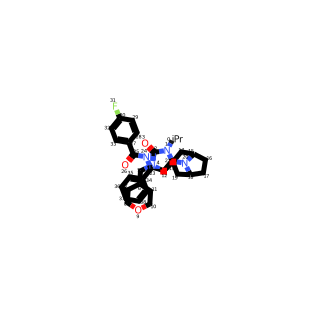 CC(C)N1C(=O)N(CC2CCOCC2)CC12CC1CCC(C2)N1CC[C@H](NC(=O)c1ccc(F)cc1)c1ccccc1